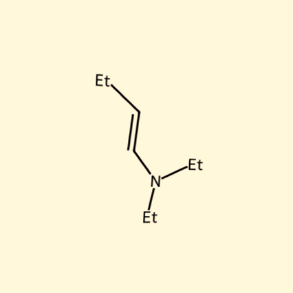 [CH2]CC=CN(CC)CC